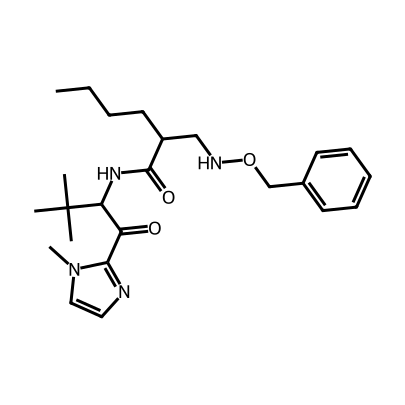 CCCCC(CNOCc1ccccc1)C(=O)NC(C(=O)c1nccn1C)C(C)(C)C